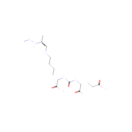 CNN/C(C)=C\NCCCC[C@H](NC(=O)N[C@H](CCC(=O)O)C(=O)O)C(=O)O